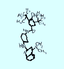 CN(C)c1cc(NC2CCC(NC(=O)c3cc(C(C)(C)C)c(O)c(C(C)(C)C)c3)CC2)nc2ccccc12